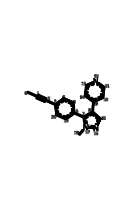 CC#Cc1ccc(-c2c(-c3ccncc3)cnn2C)cc1